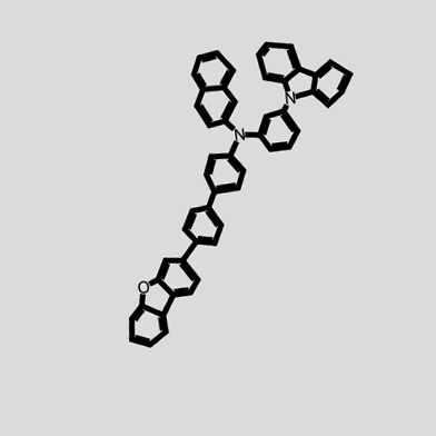 c1cc(N(c2ccc(-c3ccc(-c4ccc5c(c4)oc4ccccc45)cc3)cc2)c2ccc3ccccc3c2)cc(-n2c3ccccc3c3ccccc32)c1